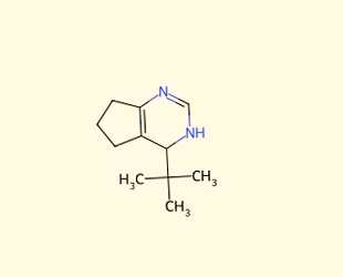 CC(C)(C)C1NC=NC2=C1CCC2